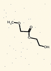 COCC(=O)OCCO